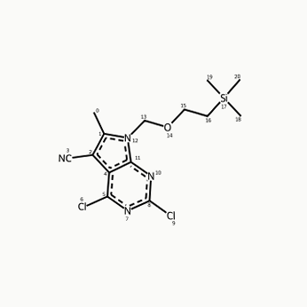 Cc1c(C#N)c2c(Cl)nc(Cl)nc2n1COCC[Si](C)(C)C